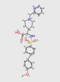 COc1ccc(-c2ccc(S(=O)(=O)NC(C(=O)O)C3CCN(Cc4ccccn4)CC3)cc2)cc1